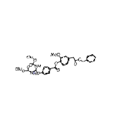 COc1cc(CC(=O)OCc2ccccc2)ccc1OC(=O)c1ccc(N/C(=N/C(=O)OC(C)(C)C)NC(=O)OC(C)(C)C)cc1